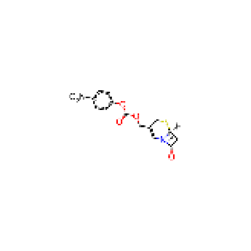 O=C(OCC1=CN2C(=O)C[C@@H]2SC1)Oc1ccc([N+](=O)[O-])cc1